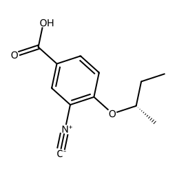 [C-]#[N+]c1cc(C(=O)O)ccc1O[C@@H](C)CC